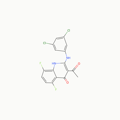 CC(=O)c1c(Nc2cc(Cl)cc(Cl)c2)[nH]c2c(F)ccc(F)c2c1=O